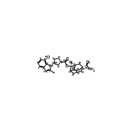 Cc1nc2cccc(Cl)c2n1[C@@H]1CCN(C(=O)O[C@H]2C3CC4CC2C[C@](C(N)=O)(C4)C3)C1